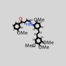 COc1cccc(C(=O)C/C=C\Nc2cc(CCc3cc(OC)c(OC)c(OC)c3)ccc2OC)c1